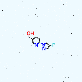 OCc1ccc(-n2cc(F)cn2)nc1